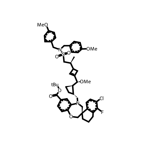 COc1ccc(CN(Cc2ccc(OC)cc2)S(=O)(=O)C[C@@H](C)C2C=C([C@H](OC)[C@@H]3CC[C@H]3CN3C[C@@]4(CCCc5c4ccc(Cl)c5F)COc4ccc(C(=O)OC(C)(C)C)cc43)C2)cc1